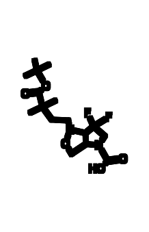 CC(C)(C)OC(=O)C(C)(C)CCN1OCC2C1C(F)(F)CN2C(=O)O